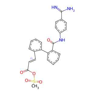 CS(=O)(=O)OC(=O)/C=C/c1ccccc1-c1ccccc1C(=O)Nc1ccc(C(=N)N)cc1